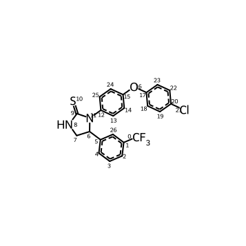 FC(F)(F)c1cccc(C2CNC(=S)N2c2ccc(Oc3ccc(Cl)cc3)cc2)c1